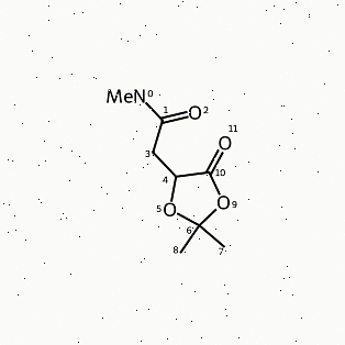 CNC(=O)CC1OC(C)(C)OC1=O